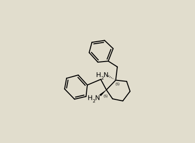 N[C@]1(Cc2ccccc2)CCCC[C@]1(N)Cc1ccccc1